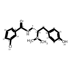 CN(C)[C@H](CNC(=O)c1cccc(Cl)c1)Cc1ccc(O)cc1